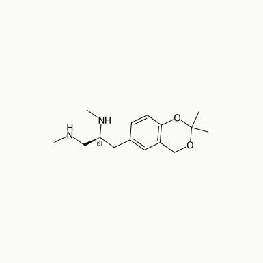 CNC[C@H](Cc1ccc2c(c1)COC(C)(C)O2)NC